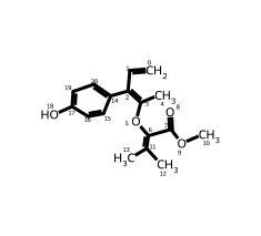 C=C/C(=C(\C)OC(C(=O)OC)=C(C)C)c1ccc(O)cc1